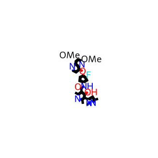 COc1cc2nccc(Oc3ccc(NC(=O)c4c(C)nc(C)c(-c5cc(C)nn5C)c4O)cc3F)c2nc1OC